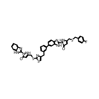 O=c1cc(CSCc2ccc(F)cc2)[nH]n1-c1nc2ccc(-c3cccc(Cc4csc(SCc5cc(=O)n(-c6nc7ccccc7[nH]6)[nH]5)n4)c3)cc2[nH]1